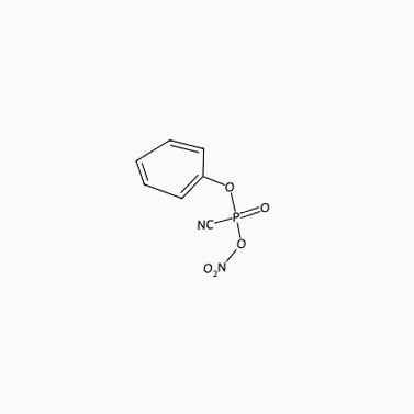 N#CP(=O)(Oc1ccccc1)O[N+](=O)[O-]